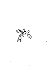 C[C@@H](Nc1ccc(F)c(F)c1)c1cc(C(=O)N2CCN3CCCC3C2)cc2ncc(N3CCOCC3)nc12